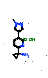 Cl.Cl.Cn1cc(-c2ccc(C3(N)CC3)nc2)cn1